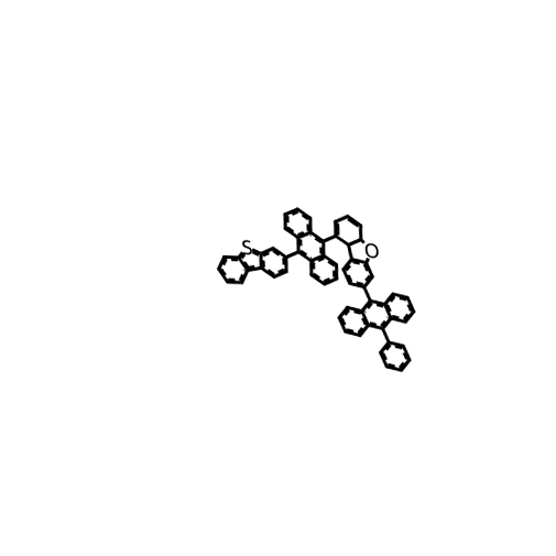 C1=CC2Oc3cc(-c4c5ccccc5c(-c5ccccc5)c5ccccc45)ccc3C2C(c2c3ccccc3c(-c3ccc4c(c3)sc3ccccc34)c3ccccc23)=C1